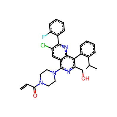 C=CC(=O)N1CCN(c2nc(CO)c(-c3ccccc3C(C)C)c3nc(-c4ccccc4F)c(Cl)cc23)CC1